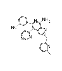 Cc1cccc(Cn2cc3c(-c4ccncn4)c(-c4cccc(C#N)c4)nc(N)c3n2)n1